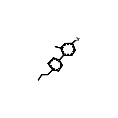 CCCc1ccc(-c2ccc(Br)cc2C)cc1